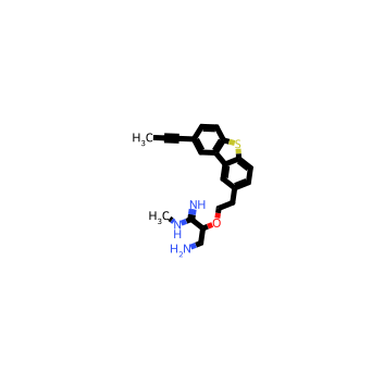 CC#Cc1ccc2sc3ccc(CCOC(CN)C(=N)NC)cc3c2c1